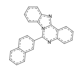 c1ccc2cc(-c3nc4ccccc4c4nc5ccccc5n34)ccc2c1